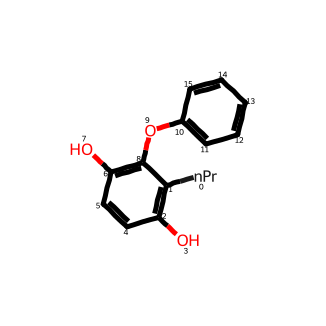 CCCc1c(O)ccc(O)c1Oc1ccccc1